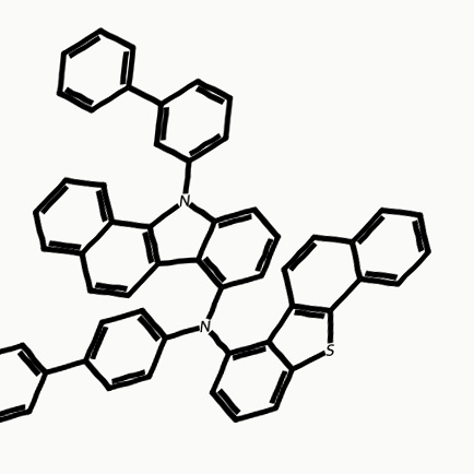 c1ccc(-c2ccc(N(c3cccc4sc5c6ccccc6ccc5c34)c3cccc4c3c3ccc5ccccc5c3n4-c3cccc(-c4ccccc4)c3)cc2)cc1